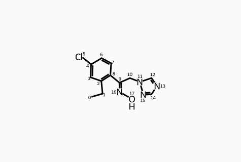 CCc1cc(Cl)ccc1C(Cn1cncn1)=NO